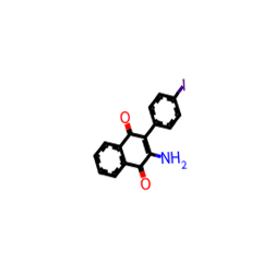 NC1=C(c2ccc(I)cc2)C(=O)c2ccccc2C1=O